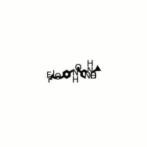 O=C(NCc1ccc(COCC(F)(F)I)cc1)C1=CCNC(NC(=O)C2CC2)=C1